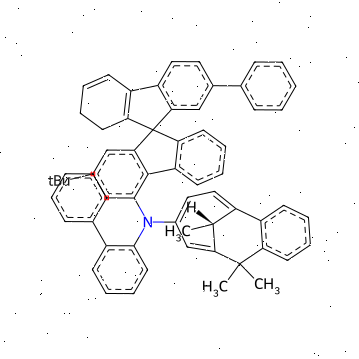 C[C@@H]1C2=CC=C(N(c3ccccc3-c3ccccc3)c3cc(C(C)(C)C)cc4c3-c3ccccc3C43C4=C(C=CCC4)c4ccc(-c5ccccc5)cc43)C=C1C(C)(C)c1ccccc12